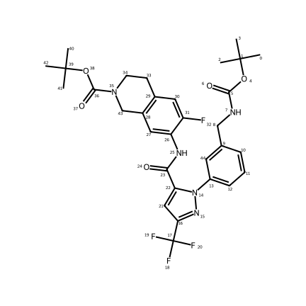 CC(C)(C)OC(=O)NCc1cccc(-n2nc(C(F)(F)F)cc2C(=O)Nc2cc3c(cc2F)CCN(C(=O)OC(C)(C)C)C3)c1